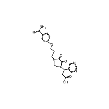 N=C(N)c1ccc(OCCCN2CCN(C(CC(=O)O)c3cncnc3)C(=O)C2=O)cc1